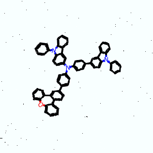 c1ccc(-n2c3ccccc3c3cc(-c4ccc(N(c5ccc(-c6ccc7c(c6)-c6ccccc6Oc6ccccc6-7)cc5)c5ccc6c(c5)c5ccccc5n6-c5ccccc5)cc4)ccc32)cc1